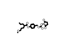 CCCC(CCCOC)C(=O)Oc1ccc(COC(=O)ON2C(=O)CCC2=O)cc1